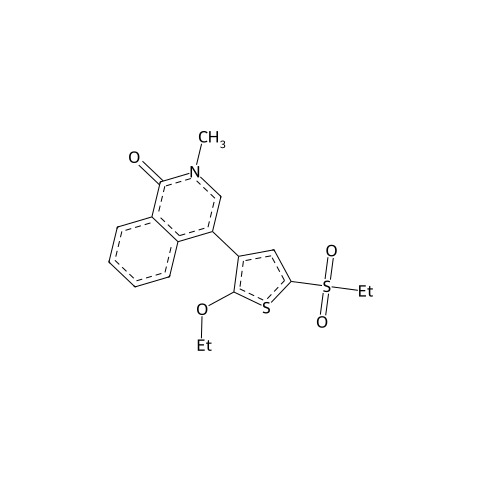 CCOc1sc(S(=O)(=O)CC)cc1-c1cn(C)c(=O)c2ccccc12